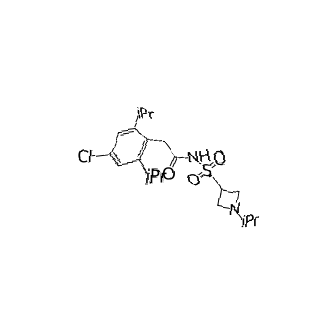 CC(C)c1cc(Cl)cc(C(C)C)c1CC(=O)NS(=O)(=O)C1CN(C(C)C)C1